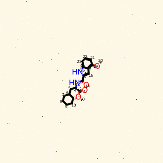 COC(=O)C(CC1CCCCC1)NC(=O)c1cc2c(OC)cccc2[nH]1